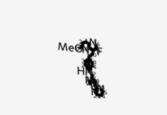 COc1ccc2ncc(F)c(CCC34CCC(NCc5cn(-c6ncccn6)cn5)(CC3)CO4)c2n1